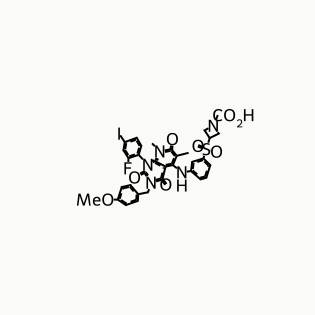 COc1ccc(Cn2c(=O)c3c(Nc4cccc(S(=O)(=O)C5CN(C(=O)O)C5)c4)c(C)c(=O)n(C)c3n(-c3ccc(I)cc3F)c2=O)cc1